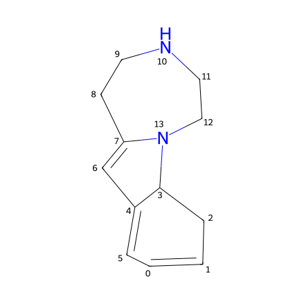 C1=CCC2C(=C1)C=C1CCNCCN12